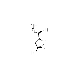 N=NC(=N)C1CC(Br)=NO1